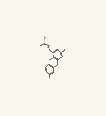 CCN(C)C=Nc1cc(F)cc(Cc2cccc(C)c2)c1C